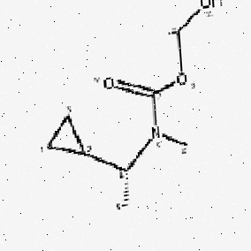 C[C@H](C1CC1)N(C)C(=O)OCO